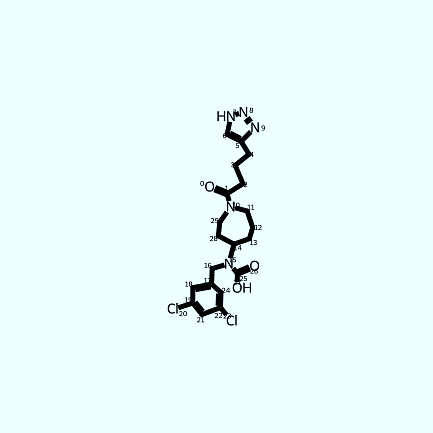 O=C(CCCc1c[nH]nn1)N1CCCC(N(Cc2cc(Cl)cc(Cl)c2)C(=O)O)CC1